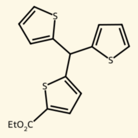 CCOC(=O)c1ccc(C(c2cccs2)c2cccs2)s1